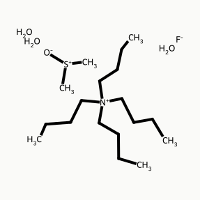 CCCC[N+](CCCC)(CCCC)CCCC.C[S+](C)[O-].O.O.O.[F-]